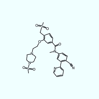 CN(C(=O)c1ccc(CS(C)(=O)=O)c(OCCN2CCN(S(C)(=O)=O)CC2)c1)c1ccc(C#N)c(-c2ccccn2)c1